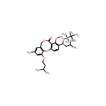 COc1c([C@H](CC(C)C)O[Si](C)(C)C(C)(C)C)ccc2c1C(=O)OCc1cc(C)cc(OCCC(C)C)c1O2